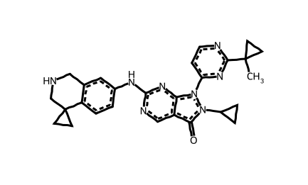 CC1(c2nccc(-n3c4nc(Nc5ccc6c(c5)CNCC65CC5)ncc4c(=O)n3C3CC3)n2)CC1